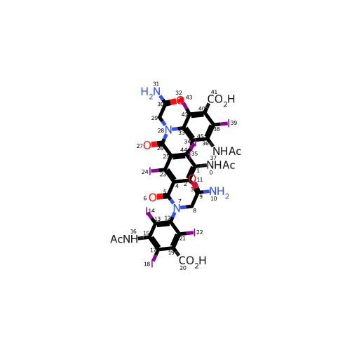 CC(=O)Nc1c(I)c(C(=O)N(CC(N)=O)c2c(I)c(NC(C)=O)c(I)c(C(=O)O)c2I)c(I)c(C(=O)N(CC(N)=O)c2c(I)c(NC(C)=O)c(I)c(C(=O)O)c2I)c1I